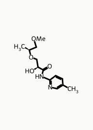 COC[C@H](C)OC[C@H](O)C(=O)Nc1ccc(C)cn1